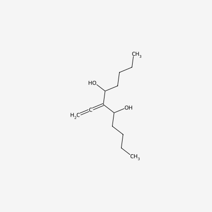 C=C=C(C(O)CCCC)C(O)CCCC